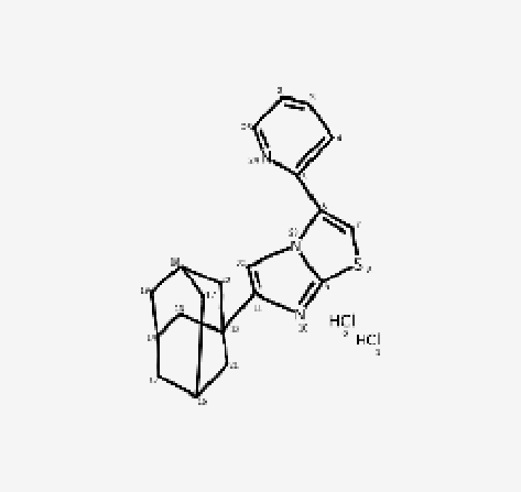 Cl.Cl.c1ccc(-c2csc3nc(C45CC6CC(CC(C6)C4)C5)cn23)nc1